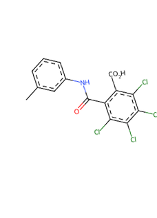 Cc1cccc(NC(=O)c2c(Cl)c(Cl)c(Cl)c(Cl)c2C(=O)O)c1